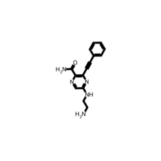 NCCNc1cnc(C(N)=O)c(C#Cc2ccccc2)n1